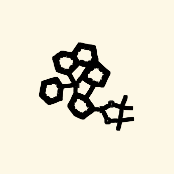 CC1(C)OB(c2cccc3c2-c2ccccc2[Si]3(c2ccccc2)c2cccc3ccccc23)OC1(C)C